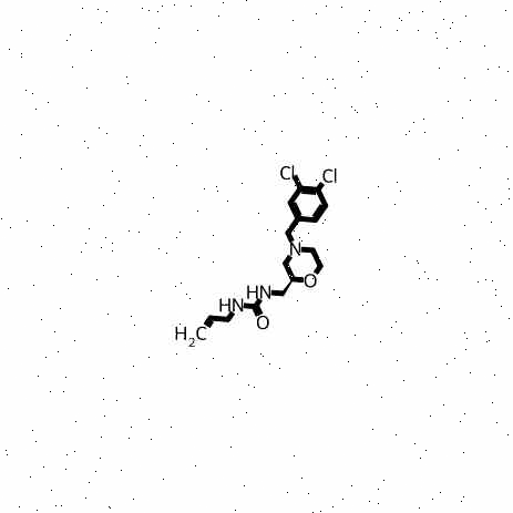 C=CCNC(=O)NC[C@H]1CN(Cc2ccc(Cl)c(Cl)c2)CCO1